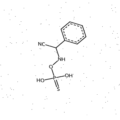 N#CC(NOP(O)(O)=S)c1ccccc1